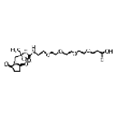 CC(C)(CN1C(=O)CCC1=O)OC(=O)NCCOCCOCCOCCOCCC(=O)O